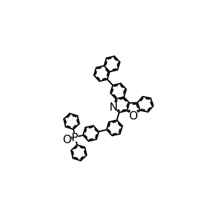 O=P(c1ccccc1)(c1ccccc1)c1ccc(-c2cccc(-c3nc4cc(-c5cccc6ccccc56)ccc4c4c3oc3ccccc34)c2)cc1